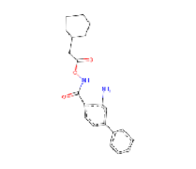 Nc1cc(-c2ccccc2)ccc1C(=O)NOC(=O)CC1CCCCC1